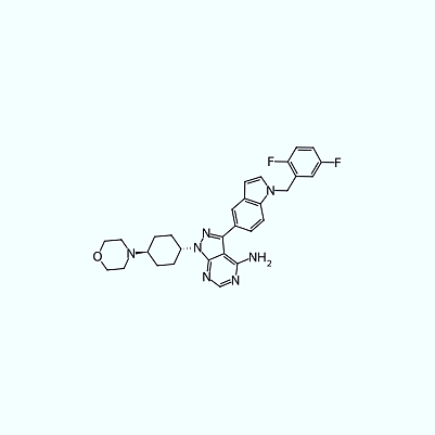 Nc1ncnc2c1c(-c1ccc3c(ccn3Cc3cc(F)ccc3F)c1)nn2[C@H]1CC[C@H](N2CCOCC2)CC1